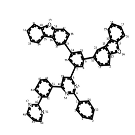 c1ccc(-c2nc(-c3cc(-c4ccc5oc6ccccc6c5c4)cc(-c4ccc5oc6ccccc6c5c4)c3)cc(-c3cccc(-c4ncccn4)c3)n2)cc1